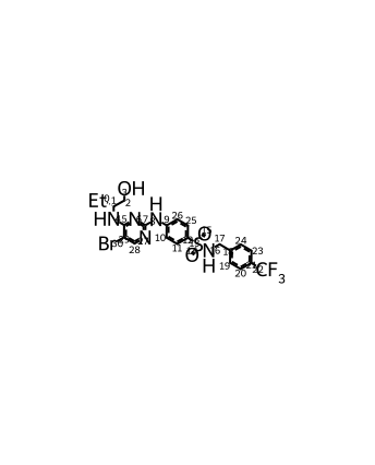 CC[C@H](CO)Nc1nc(Nc2ccc(S(=O)(=O)NCc3ccc(C(F)(F)F)cc3)cc2)ncc1Br